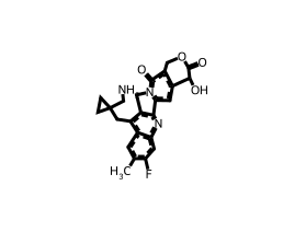 Cc1cc2c(CC3(CN)CC3)c3c(nc2cc1F)-c1cc2c(c(=O)n1C3)COC(=O)C2O